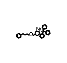 c1ccc(CCCCOCC2CCc3c(ncn3C(c3ccccc3)(c3ccccc3)c3ccccc3)C2)cc1